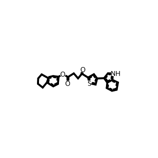 O=C(CCC(=O)c1cc(-c2c[nH]c3ccccc23)cs1)Oc1ccc2c(c1)CCCC2